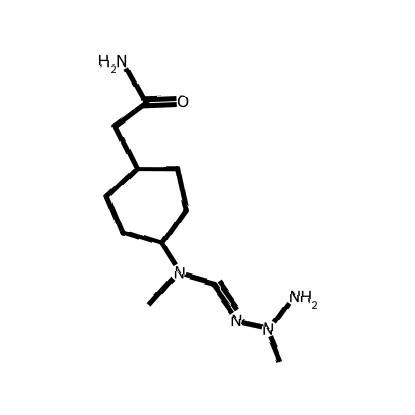 CN(N)/N=C/N(C)C1CCC(CC(N)=O)CC1